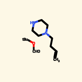 C=CCCN1CCNCC1.CC(C)(C)OC=O